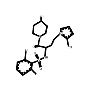 Cc1cccc(Cl)c1S(=O)(=O)NC(CCn1cccc1C#N)C(=O)N1CCC(C(F)(F)F)CC1